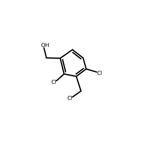 OCc1ccc(Cl)c(CCl)c1Cl